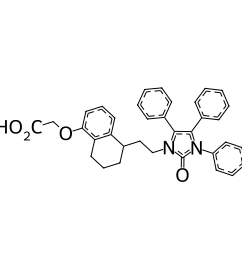 O=C(O)COc1cccc2c1CCCC2CCn1c(-c2ccccc2)c(-c2ccccc2)n(-c2ccccc2)c1=O